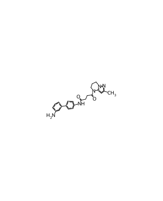 Cc1cc2n(n1)CCCN2C(=O)CCC(=O)Nc1ccc(-c2cccc(N)c2)cc1